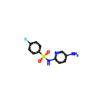 Nc1ccc(NS(=O)(=O)c2ccc(F)cc2)nc1